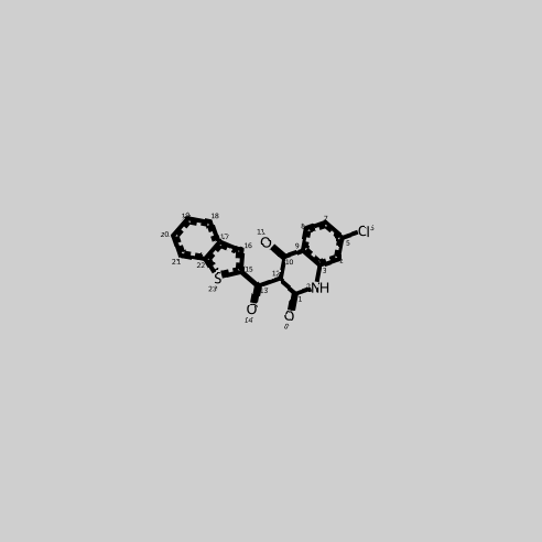 O=C1Nc2cc(Cl)ccc2C(=O)C1C(=O)c1cc2ccccc2s1